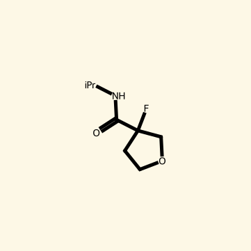 CC(C)NC(=O)C1(F)CCOC1